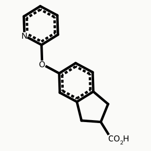 O=C(O)C1Cc2ccc(Oc3ccccn3)cc2C1